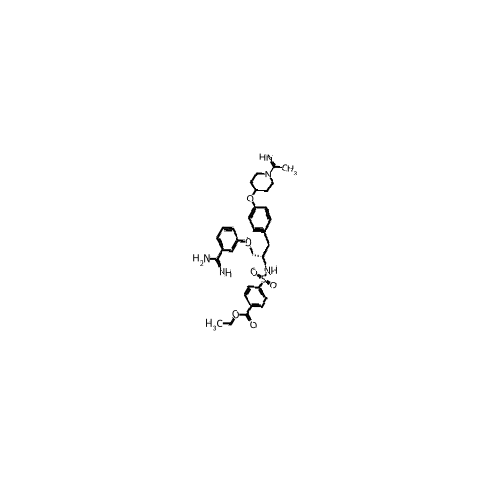 CCOC(=O)c1ccc(S(=O)(=O)N[C@H](COc2cccc(C(=N)N)c2)Cc2ccc(OC3CCN(C(C)=N)CC3)cc2)cc1